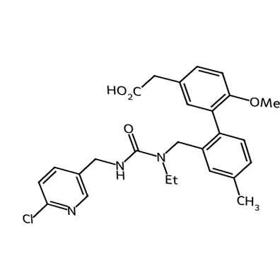 CCN(Cc1cc(C)ccc1-c1cc(CC(=O)O)ccc1OC)C(=O)NCc1ccc(Cl)nc1